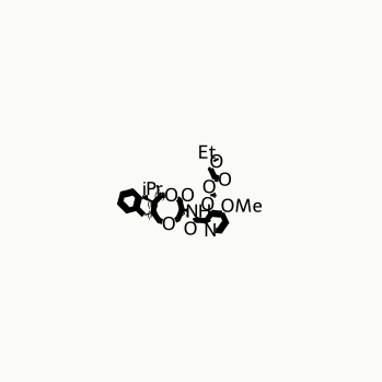 CCOCC(=O)OCOc1c(OC)ccnc1C(=O)N[C@H]1COC[C@H](Cc2ccccc2)[C@@H](CC(C)C)[C@H](C)OC1=O